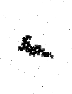 CC(C)Oc1ccc(Oc2ccc3cc(CCN)ccc3n2)c(Br)c1